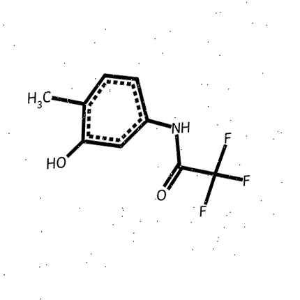 Cc1ccc(NC(=O)C(F)(F)F)cc1O